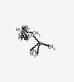 CCCCCCC(F)(F)C(F)(F)C(F)(F)[NH2+]C.CCCCCCC[CH2][Al-]([CH2]CCCCCCC)([CH2]CCCCCCC)[CH2]CCCCCCC.Fc1ccc(-c2c(F)c(F)c(F)c(F)c2F)c(F)c1F